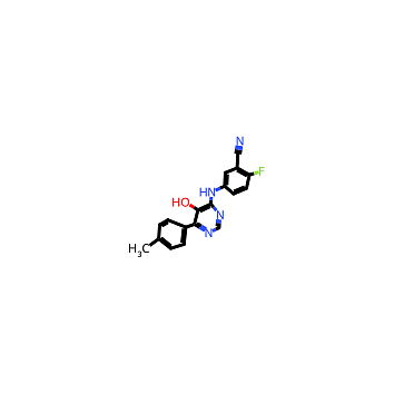 Cc1ccc(-c2ncnc(Nc3ccc(F)c(C#N)c3)c2O)cc1